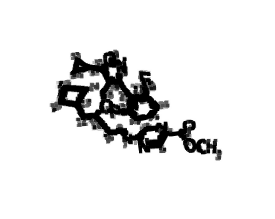 COC(=O)c1cnc(/N=C/CC(CC2CCC2)OCc2c(-c3c(F)cccc3F)noc2C2CC2)cn1